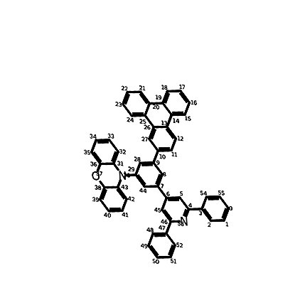 c1ccc(-c2cc(-c3cc(-c4ccc5c6ccccc6c6ccccc6c5c4)cc(N4c5ccccc5Oc5ccccc54)c3)cc(-c3ccccc3)n2)cc1